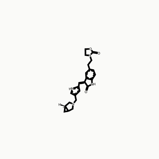 O=C1Nc2ccc(CCN3CCOC3=O)cc2C1=Cc1cc(CN2CC3C[C@@H]3C2)c[nH]1